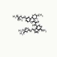 C[C@H]1CC[C@H](c2cccc(OCCN(C)C)c2)N(C(=O)C(=O)Nc2cnc(N)c3cnn(COCC[Si](C)(C)C)c23)C1